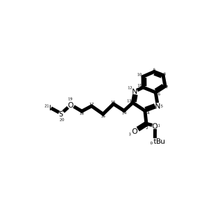 CC(C)(C)OC(=O)c1nc2ccccc2nc1CCCCCOSI